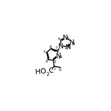 CC(C(=O)O)c1cccc(-n2cnnn2)n1